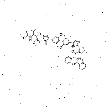 COC(=O)NC(C(=O)N1CCC[C@H]1c1ncc(-c2cc3c4c(c2)OCc2cc(-c5cnc([C@@H]6CCCN6C(=O)[C@H](NC(=O)C6=CC=CCN6)C6=C=C=CC=C6)[nH]5)cc(c2-4)OC3)[nH]1)C(C)C